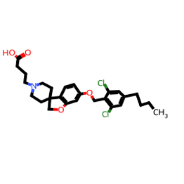 CCCCc1cc(Cl)c(COc2ccc3c(c2)OCC32CCN(CCCC(=O)O)CC2)c(Cl)c1